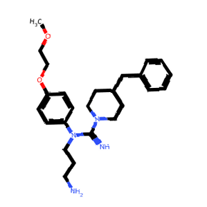 COCCOc1ccc(N(CCCN)C(=N)N2CCC(Cc3ccccc3)CC2)cc1